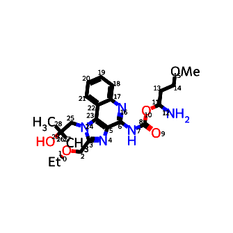 CCOCc1nc2c(NC(=O)OC(N)CCOC)nc3ccccc3c2n1CC(C)(C)O